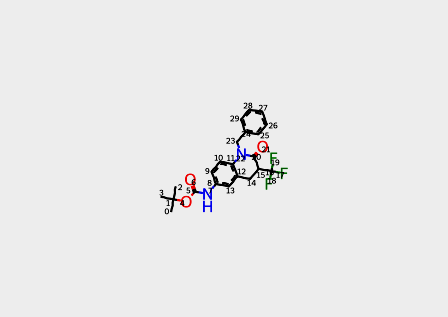 CC(C)(C)OC(=O)Nc1ccc2c(c1)CC(C(F)(F)F)C(=O)N2Cc1ccccc1